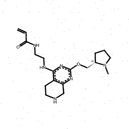 C=CC(=O)NCCNc1nc(OC[C@@H]2CCCN2C)nc2c1CCNC2